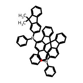 CC1(C)c2ccccc2-c2ccc(N(c3ccccc3)c3cc4ccccc4c4c3-c3ccccc3C43c4ccccc4-c4ccc(N(c5ccccc5)c5ccccc5)cc43)cc21